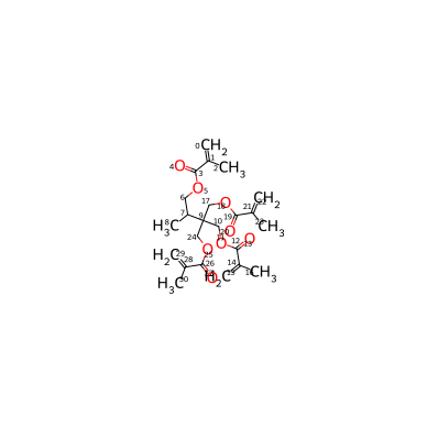 C=C(C)C(=O)OCC(C)C(COC(=O)C(=C)C)(COC(=O)C(=C)C)COC(=O)C(=C)C